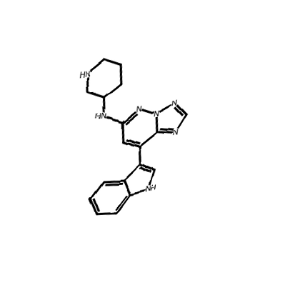 c1ccc2c(-c3cc(NC4CCCNC4)nn4ncnc34)c[nH]c2c1